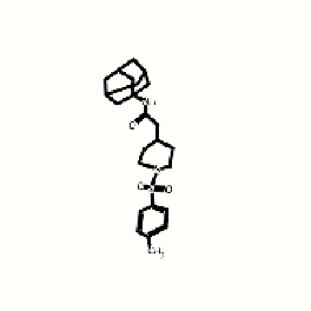 Cc1ccc(S(=O)(=O)N2CCC(CC(=O)NC34CC5CC(CC(C5)C3)C4)CC2)cc1